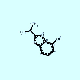 CC(C)c1nc2cccc(O)c2o1